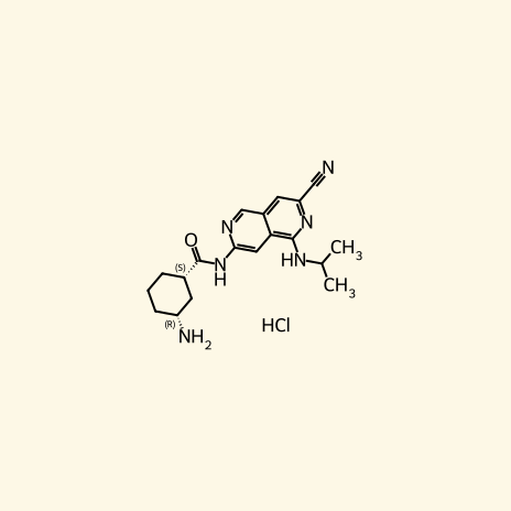 CC(C)Nc1nc(C#N)cc2cnc(NC(=O)[C@H]3CCC[C@@H](N)C3)cc12.Cl